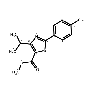 COC(=O)c1sc(-c2ccc(Cl)cc2)nc1C(C)C